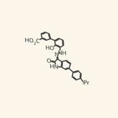 CC(C)c1ccc(-c2ccc3c(c2)NC(=O)C3=NNc2cccc(-c3cccc(C(=O)O)c3)c2O)cc1